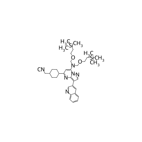 [C-]#[N+]CC1CCC(c2cc(N(COCC[Si](C)(C)C)COCC[Si](C)(C)C)n3ncc(-c4cnc5ccccc5c4)c3n2)CC1